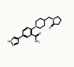 NC(=O)c1cc(-c2cn[nH]c2)ccc1N1CCC(CN2CCCC2=O)CC1